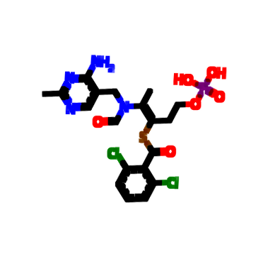 C/C(=C(\CCOP(=O)(O)O)SC(=O)c1c(Cl)cccc1Cl)N(C=O)Cc1cnc(C)nc1N